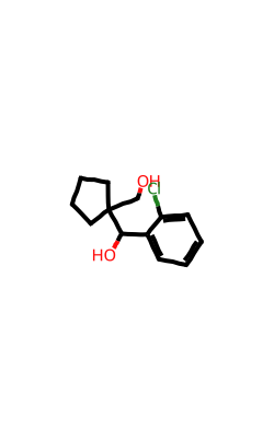 OCC1(C(O)c2ccccc2Cl)CCCC1